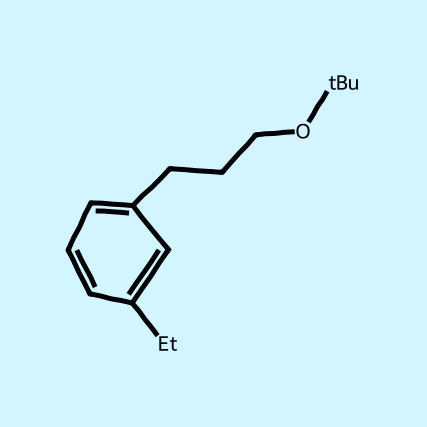 CCc1cccc(CCCOC(C)(C)C)c1